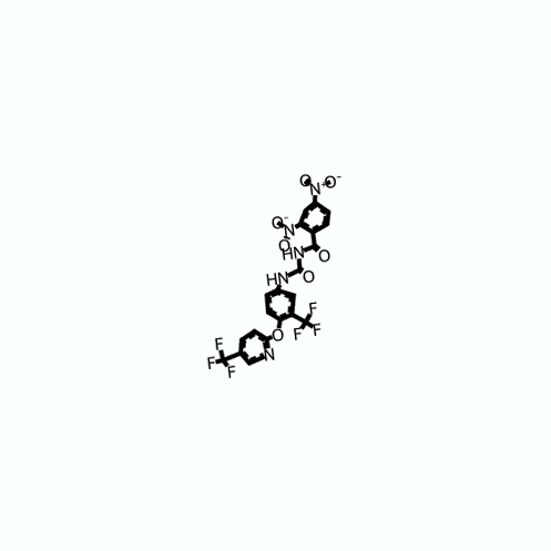 O=C(NC(=O)c1ccc([N+](=O)[O-])cc1[N+](=O)[O-])Nc1ccc(Oc2ccc(C(F)(F)F)cn2)c(C(F)(F)F)c1